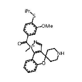 COc1cc(C(=O)[N+]2(C)N=CC3=C2c2ccccc2OC32CCNCC2)ccc1SC(C)C